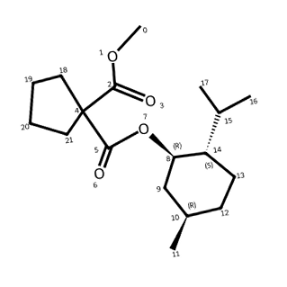 COC(=O)C1(C(=O)O[C@@H]2C[C@H](C)CC[C@H]2C(C)C)CCCC1